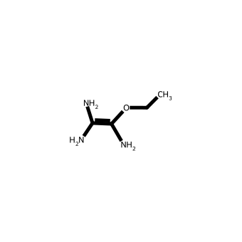 CCOC(N)=C(N)N